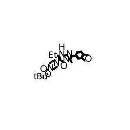 CCc1[nH]c2nc(-c3ccc4c(c3)COC4)c(C)n2c(=O)c1N1CCN(C(=O)OC(C)(C)C)CC1